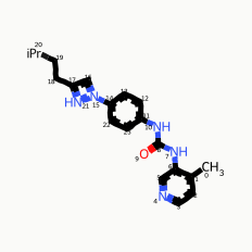 Cc1ccncc1NC(=O)Nc1ccc(-n2cc(CCC(C)C)[nH]2)cc1